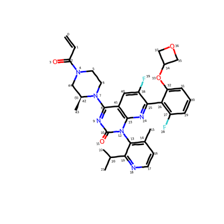 C=CC(=O)N1CCN(c2nc(=O)n(-c3c(C)ccnc3C(C)C)c3nc(-c4c(F)cccc4OC4COC4)c(F)cc23)[C@@H](C)C1